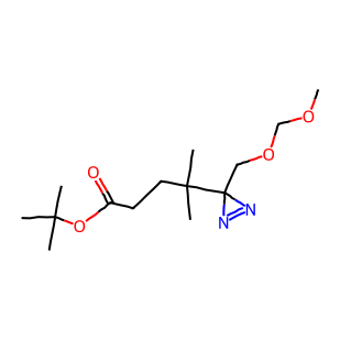 COCOCC1(C(C)(C)CCC(=O)OC(C)(C)C)N=N1